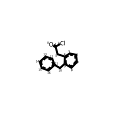 O=C(Cl)Cc1ccccc1Cc1ccccc1